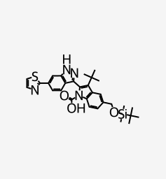 CC(C)(C)c1c(-c2n[nH]c3cc(-c4nccs4)ccc23)n(C(=O)O)c2ccc(CO[Si](C)(C)C(C)(C)C)cc12